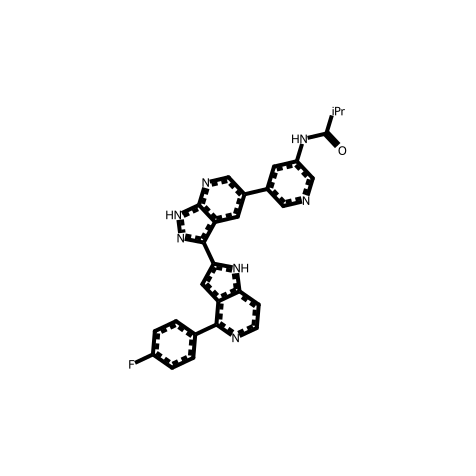 CC(C)C(=O)Nc1cncc(-c2cnc3[nH]nc(-c4cc5c(-c6ccc(F)cc6)nccc5[nH]4)c3c2)c1